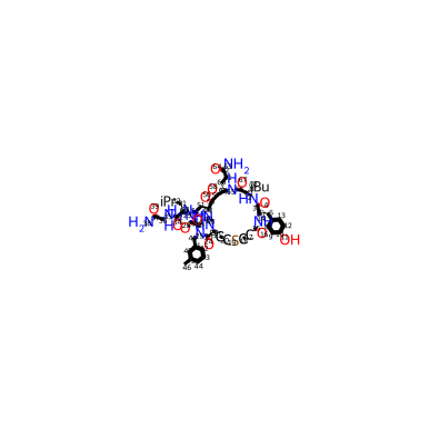 CC[C@H](C)[C@@H]1NC(=O)[C@H](Cc2ccc(O)cc2)NC(=O)CCSCC[C@@H](C(=O)N(CC(=O)N[C@@H](CC(C)C)C(=O)NCC(N)=O)Cc2cccc(C)c2)NN[C@@H](CC(N)=O)C(=O)C(=O)[C@H](CCC(N)=O)NC1=O